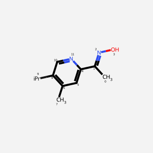 C/C(=N\O)c1cc(C)c(C(C)C)cn1